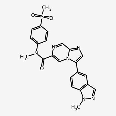 CN(C(=O)c1cn2c(-c3ccc4c(cnn4C)c3)cnc2cn1)c1ccc(S(C)(=O)=O)cc1